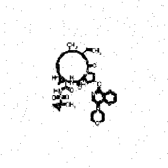 CC[C@H]1CC(=O)N2C[C@H](Oc3ncc(N4CCOCC4)c4ccccc34)C[C@H]2C(=O)N[C@]2(C(=O)NS(=O)(=O)C3(C)CC3)C[C@H]2/C=C\CC[C@H](C)C1